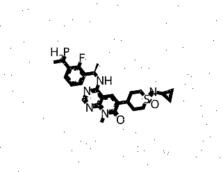 CC(P)c1cccc([C@@H](C)Nc2ncnc3c2cc(C2CCS(=O)(=NC4CC4)CC2)c(=O)n3C)c1F